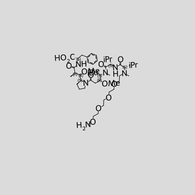 CC[C@H](C)[C@@H]([C@@H](CC(=O)N1CCC[C@H]1[C@H](OC)[C@@H](C)C(=O)N[C@@H](Cc1ccccc1)C(=O)O)OC)N(C)C(=O)[C@@H](NC(=O)[C@H](C(C)C)N(C)CCOCCOCCOCCON)C(C)C